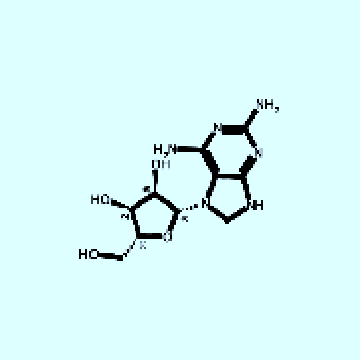 Nc1nc(N)c2c(n1)NCN2[C@@H]1O[C@H](CO)[C@@H](O)[C@H]1O